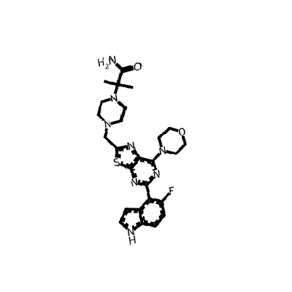 CC(C)(C(N)=O)N1CCN(Cc2nc3c(N4CCOCC4)nc(-c4c(F)ccc5[nH]ccc45)nc3s2)CC1